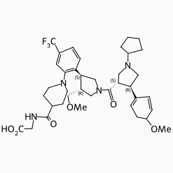 COC[C@H]1CN(C(=O)[C@@H]2CN(C3CCCC3)C[C@H]2C2=CCC(OC)C=C2)C[C@@H]1c1ccc(C(F)(F)F)cc1N1CCC(C(=O)NCC(=O)O)CC1